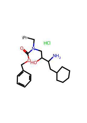 CC(C)CN(CC(O)C(N)CC1CCCCC1)C(=O)OCc1ccccc1.Cl